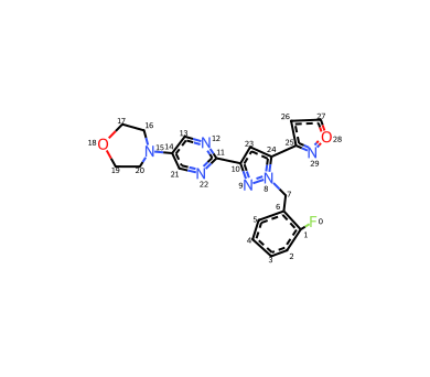 Fc1ccccc1Cn1nc(-c2ncc(N3CCOCC3)cn2)cc1-c1ccon1